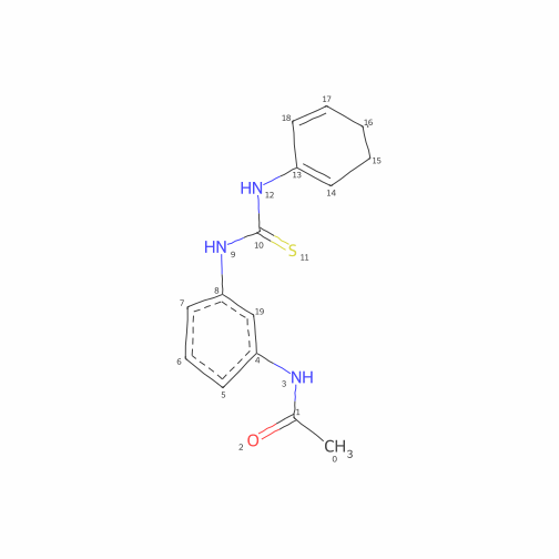 CC(=O)Nc1cccc(NC(=S)NC2=CC[CH]C=C2)c1